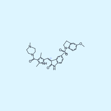 COc1ccc2c(c1)CCN2S(=O)(=O)c1ccc2c(c1)/C(=C/c1[nH]c(C)c(C(=O)N3CCN(C)CC3)c1C)C(=O)N2